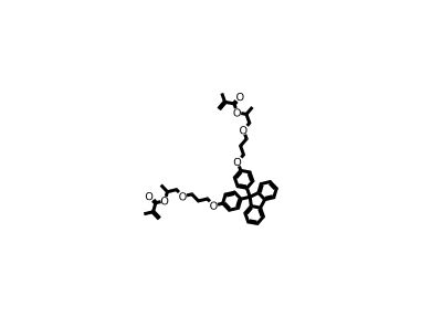 C=C(C)C(=O)OC(C)COCCCOc1ccc(C2(c3ccc(OCCCOCC(C)OC(=O)C(=C)C)cc3)c3ccccc3-c3ccccc32)cc1